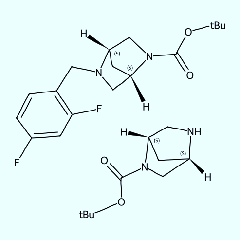 CC(C)(C)OC(=O)N1C[C@@H]2C[C@H]1CN2.CC(C)(C)OC(=O)N1C[C@@H]2C[C@H]1CN2Cc1ccc(F)cc1F